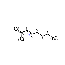 CCCCCCC/C=C/C(=O)Cl